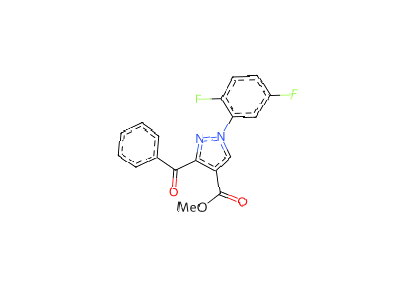 COC(=O)c1cn(-c2cc(F)ccc2F)nc1C(=O)c1ccccc1